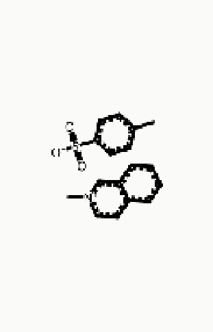 C[n+]1ccc2ccccc2c1.Cc1ccc(S(=O)(=O)[O-])cc1